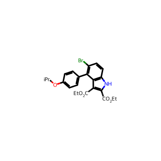 CCOC(=O)c1[nH]c2ccc(Br)c(-c3ccc(OC(C)C)cc3)c2c1C(=O)OCC